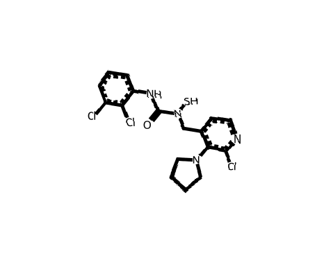 O=C(Nc1cccc(Cl)c1Cl)N(S)Cc1ccnc(Cl)c1N1CCCC1